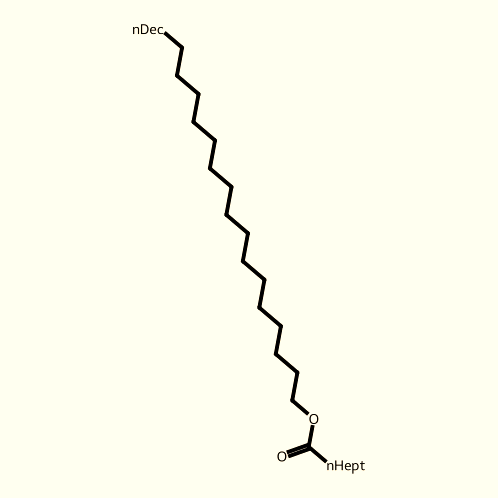 CCCCCCCCCCCCCCCCCCCCCCCCCCOC(=O)CCCCCCC